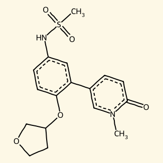 Cn1cc(-c2cc(NS(C)(=O)=O)ccc2OC2CCOC2)ccc1=O